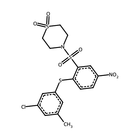 Cc1cc(Cl)cc(Sc2ccc([N+](=O)[O-])cc2S(=O)(=O)N2CCS(=O)(=O)CC2)c1